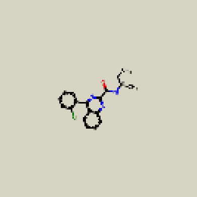 CC[C@@H](C)NC(=O)c1nc(-c2ccccc2Cl)c2ccccc2n1